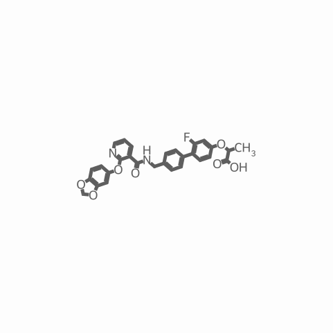 CC(Oc1ccc(-c2ccc(CNC(=O)c3cccnc3Oc3ccc4c(c3)OCO4)cc2)c(F)c1)C(=O)O